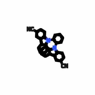 N#Cc1ccc2c(c1)c1ccccc1n2-c1ccccc1-n1c2ccccc2c2cc(C#N)ccc21